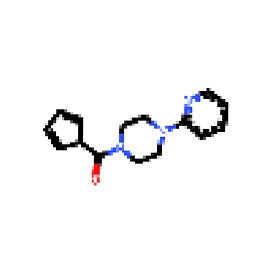 O=C(C1C=CC=C1)N1CCN(c2ccccn2)CC1